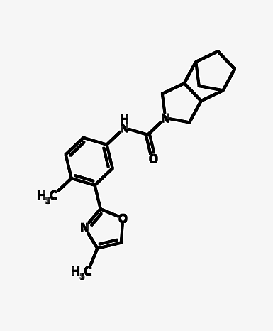 Cc1coc(-c2cc(NC(=O)N3CC4C5CCC(C5)C4C3)ccc2C)n1